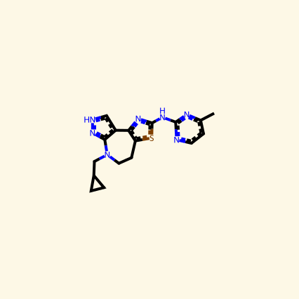 Cc1ccnc(Nc2nc3c(s2)CCN(CC2CC2)c2n[nH]cc2-3)n1